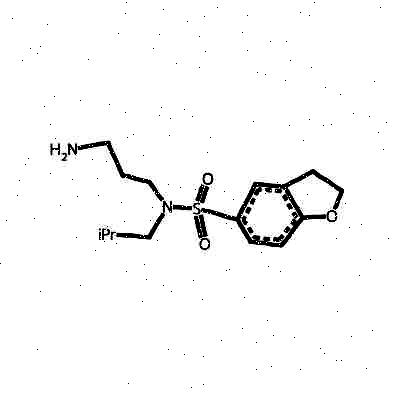 CC(C)CN(CCCN)S(=O)(=O)c1ccc2c(c1)CCO2